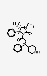 C[C@H]1[C@@H](c2ccccc2)N(C(=O)C[C@@H](c2ccccc2)C2CCNCC2)C(=O)N1C